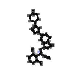 N#C/C(=C\c1c[nH]c2ncc(-c3cnn(C4CCNCC4)c3)cc12)c1c(Cl)cccc1Cl